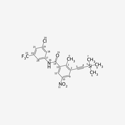 Cc1c(C#C[Si](C)(C)C)cc([N+](=O)[O-])cc1C(=O)Nc1cc(Cl)cc(C(F)(F)F)c1